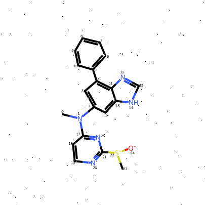 CN(c1cc(-c2ccccc2)c2nc[nH]c2c1)c1ccnc([S+](C)[O-])n1